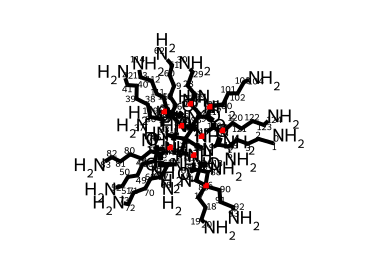 NCCCC[C@H](N)C(=O)NC(NC(=O)[C@@H](N)CCCCN)(NC(=O)[C@@H](N)CCCCN)C(C(NC(=O)[C@@H](N)CCCCN)(NC(=O)[C@@H](N)CCCCN)NC(=O)[C@@H](N)CCCCN)(C(NC(=O)[C@@H](N)CCCCN)(NC(=O)[C@@H](N)CCCCN)NC(=O)[C@@H](N)CCCCN)C(NC(=O)[C@@H](N)CCCCN)(NC(=O)[C@@H](N)CCCCN)NC(=O)[C@@H](N)CCCCN